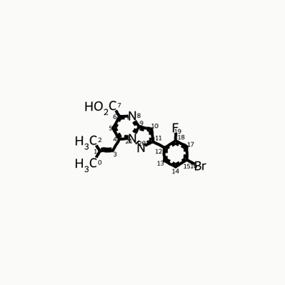 CC(C)=Cc1cc(C(=O)O)nc2cc(-c3ccc(Br)cc3F)nn12